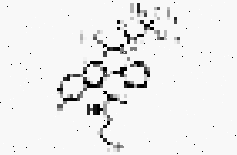 CC(NC(=O)OC(C)(C)C)c1nc2ccc(F)cc2c(C(=O)NCCO)c1-c1ccccn1